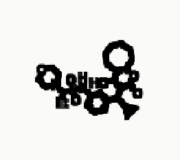 CCC(N1CCOCC1)S(=O)(=O)Nc1cccc(C(c2c(O)c3c(oc2=O)CCCCCC3)C2CC2)c1